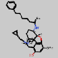 CCCCC(CCCCCc1ccccc1)N[C@@H]1CC[C@H]2[C@H]3Cc4c(O)cc(OC(C)=O)c5c4[C@@]2(CCN3CC2CC2)[C@H]1O5